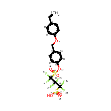 C=Cc1ccc(OCc2ccc(OS(=O)(=O)C(F)(F)C(F)(F)C(F)(F)S(=O)(=O)O)cc2)cc1